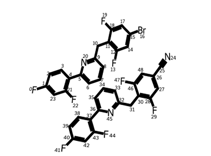 Fc1ccc(-c2cccc(Cc3c(F)cc(Br)cc3F)n2)c(F)c1.N#Cc1cc(F)c(Cc2cccc(-c3ccc(F)cc3F)n2)c(F)c1